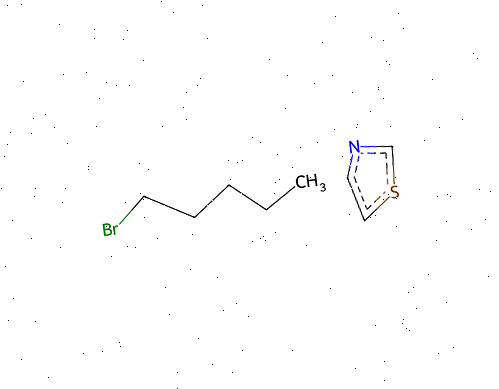 CCCCCBr.c1cscn1